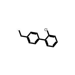 [CH2]Cc1ccc(-c2ccccc2Cl)cc1